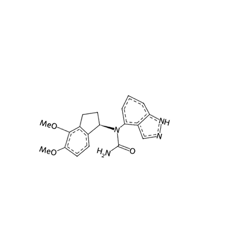 COc1ccc2c(c1OC)CC[C@H]2N(C(N)=O)c1cccc2[nH]ncc12